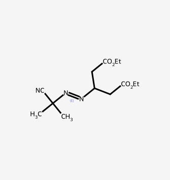 CCOC(=O)CC(CC(=O)OCC)/N=N/C(C)(C)C#N